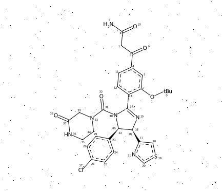 CC(C)(C)Oc1cc(C(=O)CC(N)=O)ccc1C1=N[C@@H](c2cscn2)[C@@H](c2ccc(Cl)cc2)N1C(=O)N1CCNC(=O)C1